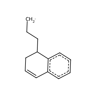 [CH2]CCC1CC=Cc2ccccc21